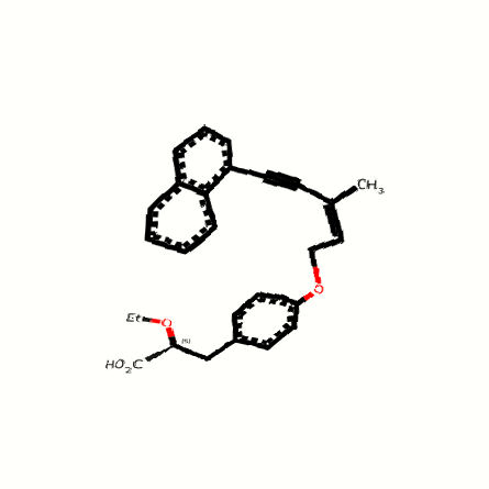 CCO[C@@H](Cc1ccc(OCC=C(C)C#Cc2cccc3ccccc23)cc1)C(=O)O